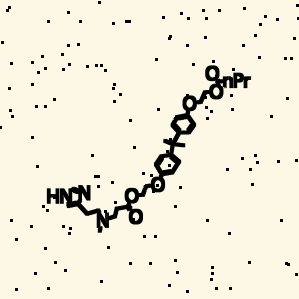 CCCC(=O)OCCOc1ccc(C(C)(C)c2ccc(OCCOC(=O)CCN(C)CCc3c[nH]cn3)cc2)cc1